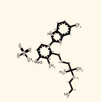 COc1cc[n+](-c2nc3cc(C(F)(F)F)ccc3[nH]2)c(CSCC(C)(C)OCCO)c1C.CS(=O)(=O)[O-]